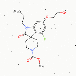 COCCN1C(=O)C2(CCN(C(=O)OC(C)(C)C)CC2)c2c(F)cc(OCCO)cc21